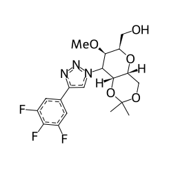 CO[C@@H]1C(n2cc(-c3cc(F)c(F)c(F)c3)nn2)[C@H]2OC(C)(C)OC[C@H]2O[C@@H]1CO